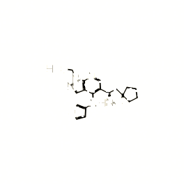 CCn1ncc2c(Nc3ccoc3)c(C3=NOC4(CCCC4)C3)cnc21